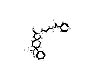 CN(C)[C@]1(c2ccccc2)CC[C@@]2(CC1)CC(=O)N(CCCNC(=O)c1ccncc1)C2